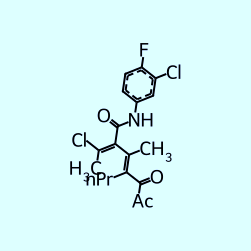 CCC/C(C(=O)C(C)=O)=C(C)\C(C(=O)Nc1ccc(F)c(Cl)c1)=C(/C)Cl